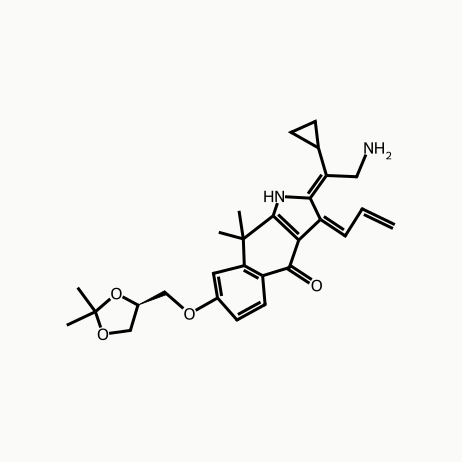 C=C/C=c1/c2c([nH]/c1=C(/CN)C1CC1)C(C)(C)c1cc(OC[C@H]3COC(C)(C)O3)ccc1C2=O